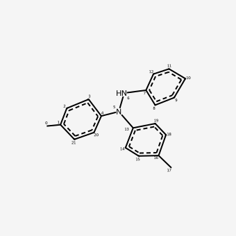 Cc1ccc(N(Nc2ccccc2)c2ccc(C)cc2)cc1